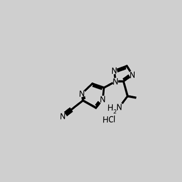 CC(N)c1ncnn1-c1cnc(C#N)cn1.Cl